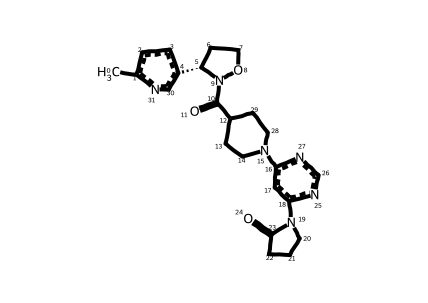 Cc1ccc([C@@H]2CCON2C(=O)C2CCN(c3cc(N4CCCC4=O)ncn3)CC2)cn1